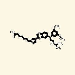 COc1cc(OC)cc(N(CCNC(C)C)c2ccc3ncc(-c4cnn(CCCCCCC(=O)O)c4)nc3c2)c1